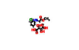 COC(=O)CNc1ccccc1Cl.O=C(O)C(O)C(O)C(=O)O